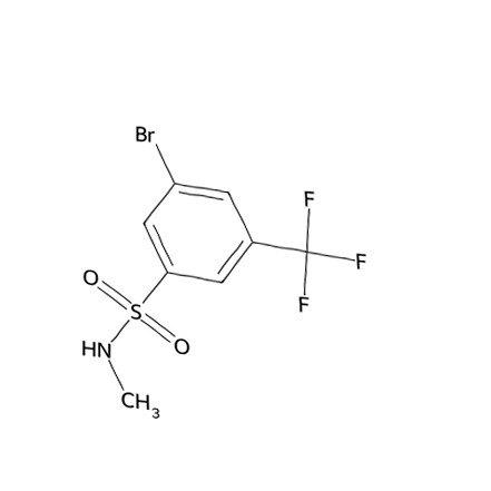 CNS(=O)(=O)c1cc(Br)cc(C(F)(F)F)c1